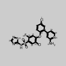 Nc1cc(-c2cc(Cl)ccc2Oc2cc(F)c(S(=O)(=O)Nc3ncns3)cc2Cl)ccn1